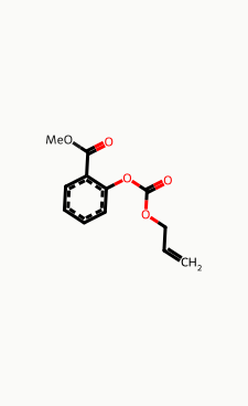 C=CCOC(=O)Oc1ccccc1C(=O)OC